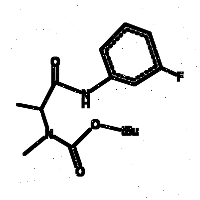 CC(C(=O)Nc1cccc(F)c1)N(C)C(=O)OC(C)(C)C